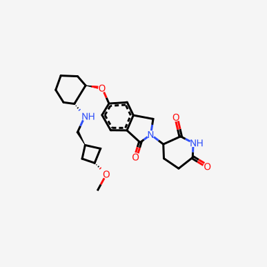 CO[C@H]1C[C@H](CN[C@@H]2CCCC[C@H]2Oc2ccc3c(c2)CN(C2CCC(=O)NC2=O)C3=O)C1